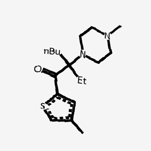 CCCCC(CC)(C(=O)c1cc(C)cs1)N1CCN(C)CC1